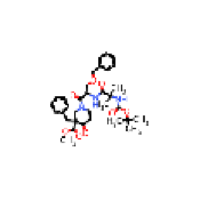 COC(=O)[C@]1(Cc2ccccc2)CN(C(=O)[C@@H](COCc2ccccc2)NC(=O)C(C)(C)NC(=O)OC(C)(C)C)CCC1=O